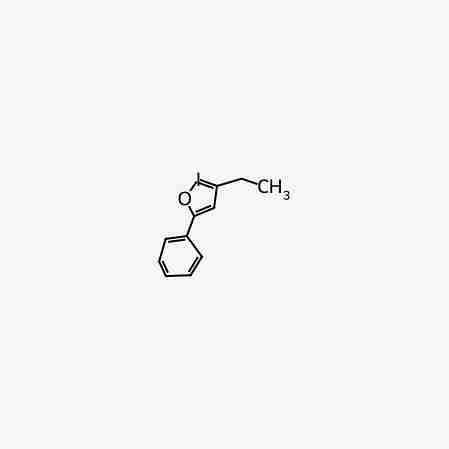 CCC1=IOC(c2ccccc2)=C1